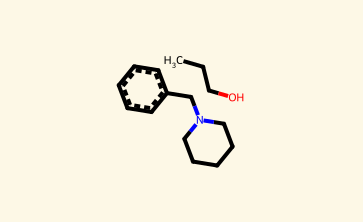 CCCO.c1ccc(CN2CCCCC2)cc1